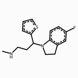 CNCCC(c1cccs1)N1CCc2cc(F)ccc21